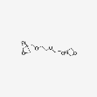 C1COC1.CCC1(COCCOCCO)COC1